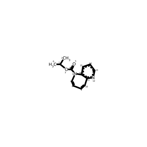 CC(C)OC(=O)N1C=CC=Cc2ncccc21